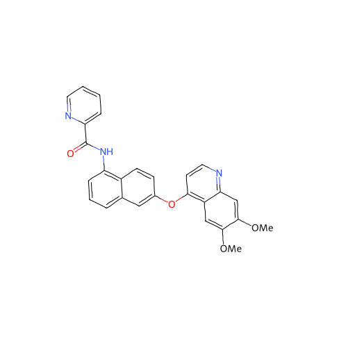 COc1cc2nccc(Oc3ccc4c(NC(=O)c5ccccn5)cccc4c3)c2cc1OC